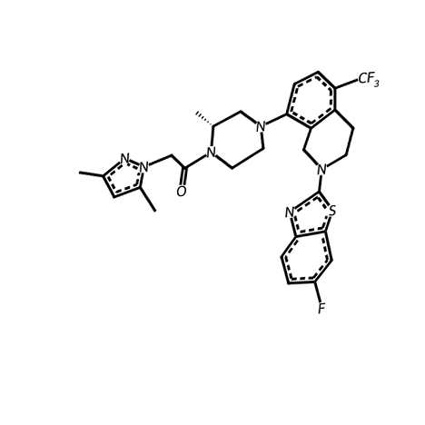 Cc1cc(C)n(CC(=O)N2CCN(c3ccc(C(F)(F)F)c4c3CN(c3nc5ccc(F)cc5s3)CC4)C[C@H]2C)n1